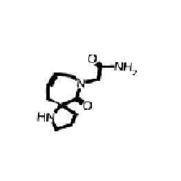 NC(=O)CN1CC=CC[C@]2(CCCN2)C1=O